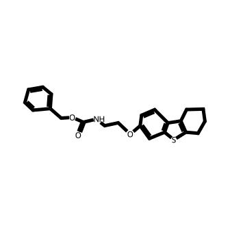 O=C(NCCOc1ccc2c3c(sc2c1)CCCC3)OCc1ccccc1